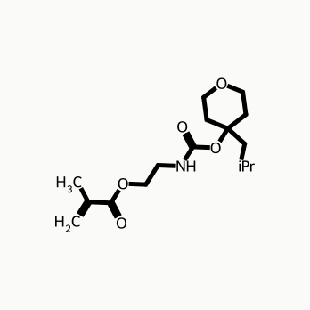 C=C(C)C(=O)OCCNC(=O)OC1(CC(C)C)CCOCC1